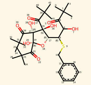 CC(C)(C)C(=O)C(O)[C@@H](SCc1ccccc1)[C@@H]1O[C@@](O)(C(=O)C(C)(C)C)[C@@](O)(C(=O)C(C)(C)C)[C@]1(O)C(=O)C(C)(C)C